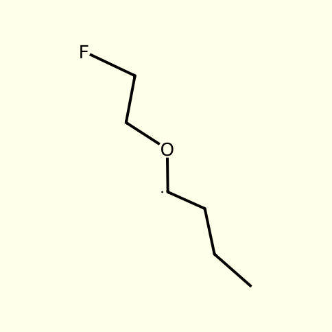 CCC[CH]OCCF